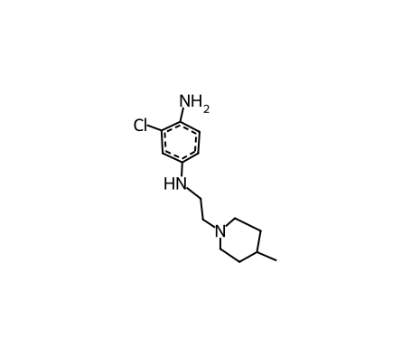 CC1CCN(CCNc2ccc(N)c(Cl)c2)CC1